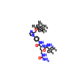 CC(C)C(N)C(=O)NC(CCCNC(N)=O)C(=O)Nc1ccc(-n2ccnc2CO[Si](C)(C)C(C)(C)C)cc1